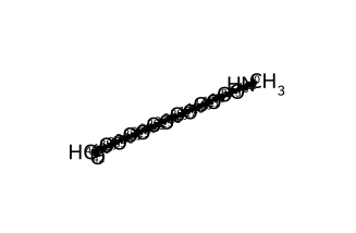 CCNCCOCCOCCOCCOCCOCCOCCOCCOCCOCCOCCOCCOCCC(=O)O